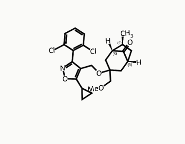 COCC1(OCc2c(-c3c(Cl)cccc3Cl)noc2C2CC2)C[C@H]2C[C@H](C)[C@@H](C1)C2=O